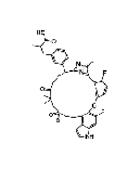 CC(Cc1cccc(C2CCC(=O)C(C)(C)CS(=O)(=O)CCc3c(c(F)cc4[nH]ccc34)Oc3ccc(F)c(c3)-c3nc2nn3C)c1)C(=O)O